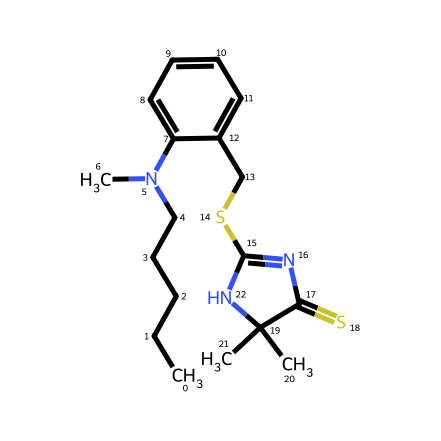 CCCCCN(C)c1ccccc1CSC1=NC(=S)C(C)(C)N1